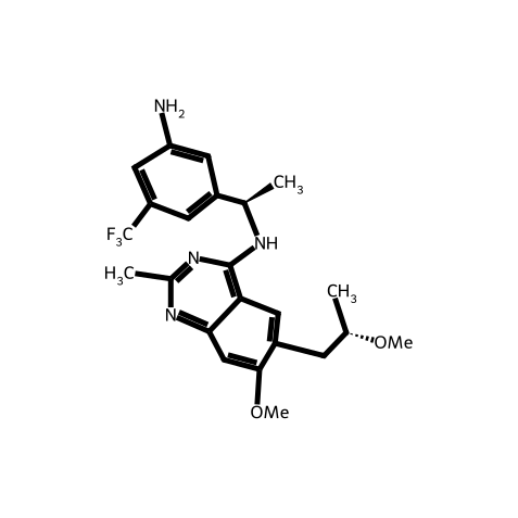 COc1cc2nc(C)nc(N[C@H](C)c3cc(N)cc(C(F)(F)F)c3)c2cc1C[C@H](C)OC